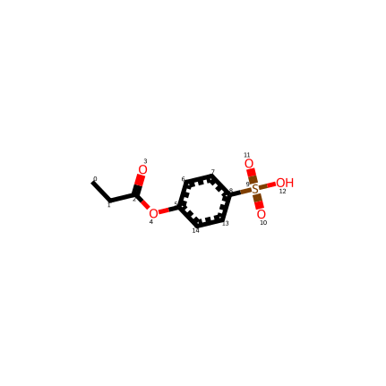 CCC(=O)Oc1ccc(S(=O)(=O)O)cc1